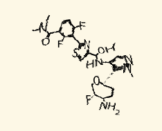 CN(C)C(=O)c1ccc(F)c(-c2nc(C(O)Nc3cnn(C)c3[C@@H]3CC[C@@H](N)[C@H](F)CO3)cs2)c1F